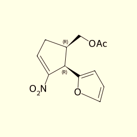 CC(=O)OC[C@@H]1CC=C([N+](=O)[O-])[C@@H]1c1ccco1